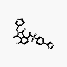 O=C1c2c(Cl)ccc(NS(=O)(=O)c3ccc(-c4cnco4)cc3)c2C(=O)N1Cc1cccnc1